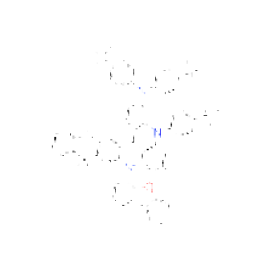 Cc1cc2c3c(c1)N(c1cccc4c1oc1ccccc14)c1cc4c(cc1C3c1ccc(N(c3ccc(C(C)(C)C)cc3)c3ccc(C(C)(C)C)cc3)cc1N2c1ccc(C(C)(C)C)cc1)C(C)(C)c1ccccc1C4(C)C